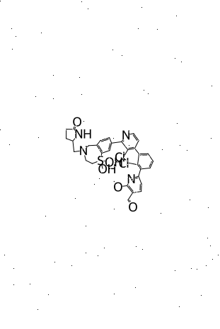 COc1nc(-c2cccc(-c3ccnc(-c4ccc5c(c4)S(O)(O)CCN(CC4CCC(=O)N4)C5)c3Cl)c2Cl)ccc1C=O